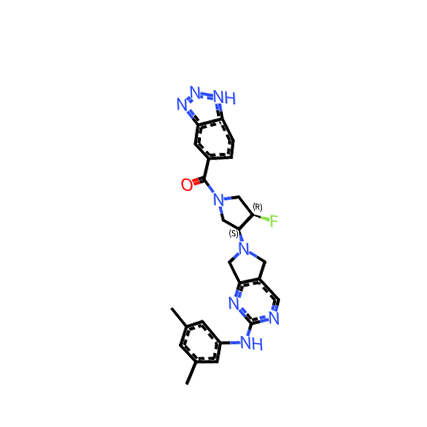 Cc1cc(C)cc(Nc2ncc3c(n2)CN([C@H]2CN(C(=O)c4ccc5[nH]nnc5c4)C[C@H]2F)C3)c1